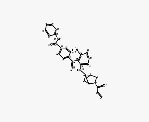 C=CC(=O)N1CC2CC1CC2Nc1ncnc(N)c1C(=N)c1ccc(C(=O)Nc2ccccc2)cc1